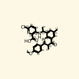 COc1ccc(C2=Nc3c(cc(C)cc3C(C)Nc3ccc(Cl)nc3C(=O)O)C(=O)C2C)cc1